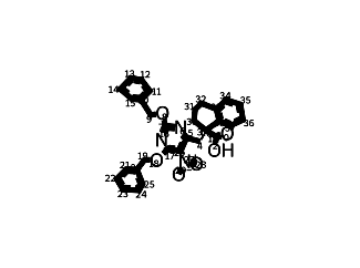 O=C(O)[C@@]1(Cc2nc(OCc3ccccc3)nc(OCc3ccccc3)c2[N+](=O)[O-])CCCc2ccccc21